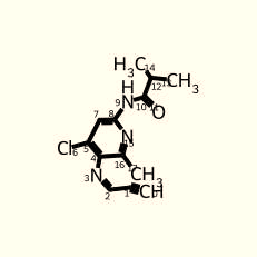 C#C/C=N\c1c(Cl)cc(NC(=O)C(C)C)nc1C